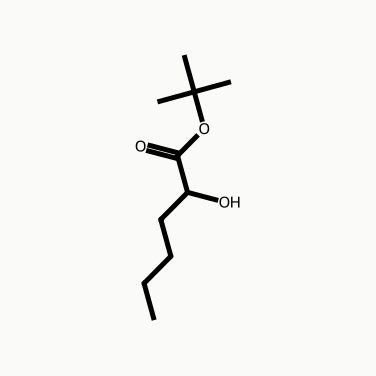 CCCCC(O)C(=O)OC(C)(C)C